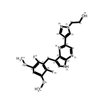 COc1cc(OC)c(F)c(Cc2c[nH]c3ncc(-c4cnn(CCO)c4)nc23)c1F